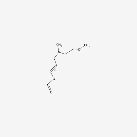 COCCN(C)C/C=C/OC=O